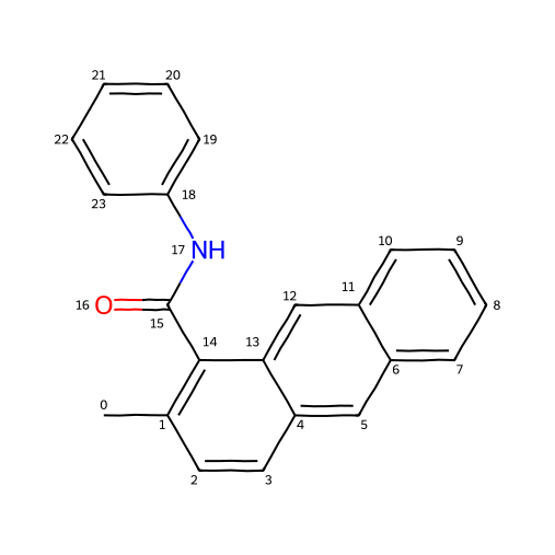 Cc1ccc2cc3ccccc3cc2c1C(=O)Nc1ccccc1